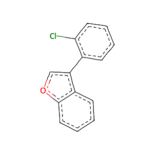 Clc1ccccc1-c1coc2ccccc12